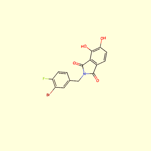 O=C1c2ccc(O)c(O)c2C(=O)N1Cc1ccc(F)c(Br)c1